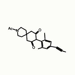 CC#Cc1cc(C)c(C2C(=O)CC3(CCN(C(C)=O)CC3)CC2=O)c(C)c1